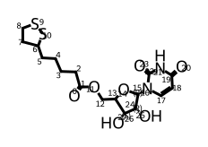 O=C(CCCCC1CCSS1)OCC1O[C@@H](n2ccc(=O)[nH]c2=O)[C@H](O)[C@@H]1O